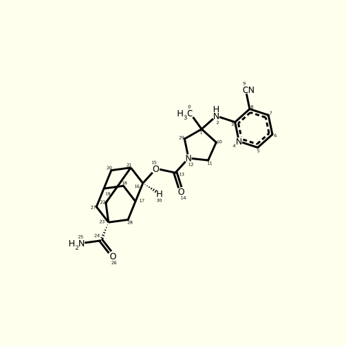 CC1(Nc2ncccc2C#N)CCN(C(=O)O[C@H]2C3CC4CC2C[C@](C(N)=O)(C4)C3)C1